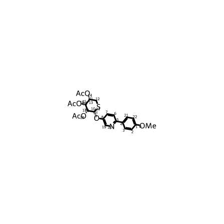 COc1ccc(-c2ccc(O[C@H]3SC[C@@H](OC(C)=O)[C@H](OC(C)=O)[C@H]3OC(C)=O)cn2)cc1